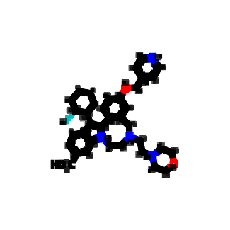 O=C(O)c1ccc2c([C@@H]3CCCC[C@H]3F)c3n(c2c1)CCN(CCN1CCOCC1)Cc1cc(OCc2ccncc2)ccc1-3